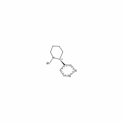 CC(C)N1CCCC[C@H]1c1ccnnc1